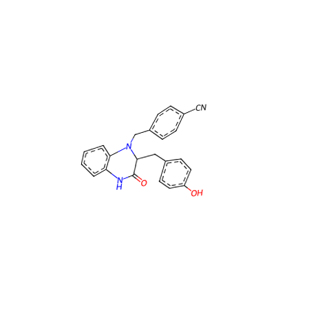 N#Cc1ccc(CN2c3ccccc3NC(=O)C2Cc2ccc(O)cc2)cc1